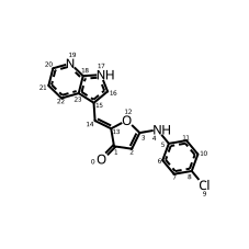 O=C1C=C(Nc2ccc(Cl)cc2)OC1=Cc1c[nH]c2ncccc12